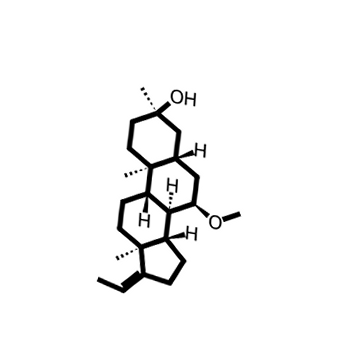 C/C=C1/CC[C@H]2[C@@H]3[C@H](OC)C[C@H]4C[C@](C)(O)CC[C@]4(C)[C@H]3CC[C@]12C